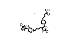 CN1C(=O)OC(N2CCN(CCCC(=O)O)CC2)C1CCCCN1CCN(c2noc(=O)[nH]2)CC1